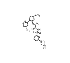 Cc1ccc(-c2cc(C(F)(F)F)ccn2)c(OC2(C(=O)NS(=O)(=O)c3cccc(N4CC[C@H](O)C4)n3)CC2)c1